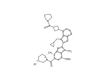 CC[C@@H]1CC[C@H](C)N(C(=O)c2cc(OC)c3c(c2)nc(-c2cc4cccc(C5CC(C(=O)N6CCCC6)C5)c4n2CC2CC2)n3C)C1